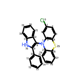 Clc1ccc2c(c1)N(c1c(-c3ccccc3)[nH]c3ccccc13)c1ccccc1S2